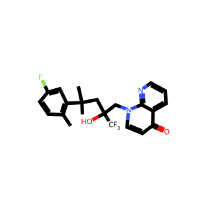 Cc1ccc(F)cc1C(C)(C)CC(O)(Cn1ccc(=O)c2cccnc21)C(F)(F)F